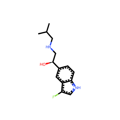 CC(C)CNC[C@H](O)c1ccc2[nH]cc(F)c2c1